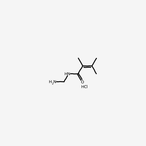 CC(C)=C(C)C(=O)NCN.Cl